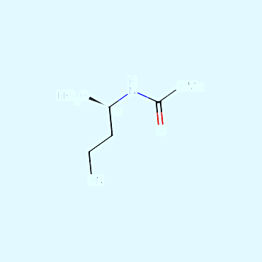 COC(=O)N[C@@H](CCC#N)C(=O)O